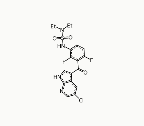 CCN(CC)S(=O)(=O)Nc1ccc(F)c(C(=O)c2c[nH]c3ncc(Cl)cc23)c1F